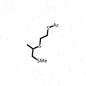 CSCC(C)SCCSC(C)=O